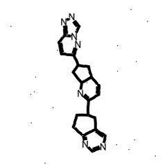 C1=CC2CC(c3ccc4nncn4n3)CC2N=C1C1CCc2ncncc2C1